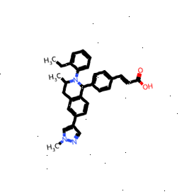 CCc1ccccc1N1C(C)Cc2cc(-c3cnn(C)c3)ccc2C1c1ccc(/C=C/C(=O)O)cc1